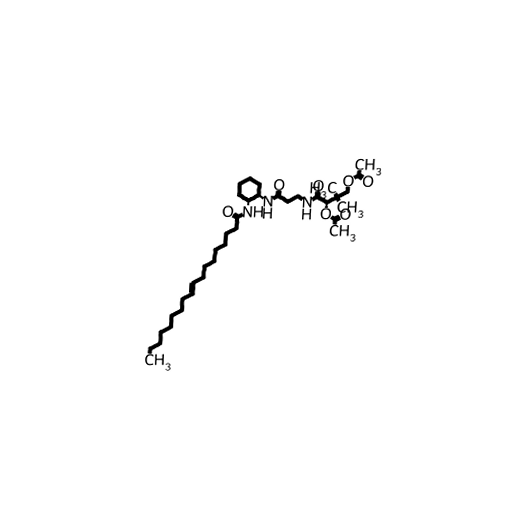 CCCCCCCCC=CCCCCCCCC(=O)N[C@@H]1CCCC[C@H]1NC(=O)CCNC(=O)[C@H](OC(C)=O)C(C)(C)COC(C)=O